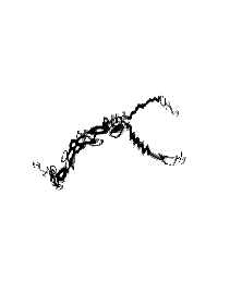 CCCCCCCCCCCCN(CCCCCCCCCCCC)S(=O)(=O)c1cc2c(cc1N)nc1c3ccc4c(=O)n5c6cc(S(N)(=O)=O)c([N+](=O)[O-])cc6nc5c5ccc(c(=O)n21)c3c45